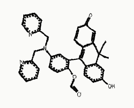 CC1(C)C2=CC(=O)C=CC2=C(c2cc(N(Cc3ccccn3)Cc3ccccn3)ccc2OC=O)c2ccc(O)cc21